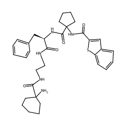 NC1(C(=O)NCCNC(=O)[C@@H](Cc2ccccc2)NC(=O)C2(NC(=O)c3cc4ccccc4s3)CCCC2)CCCCC1